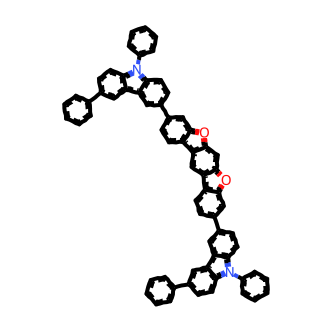 c1ccc(-c2ccc3c(c2)c2cc(-c4ccc5c(c4)oc4cc6oc7cc(-c8ccc9c(c8)c8cc(-c%10ccccc%10)ccc8n9-c8ccccc8)ccc7c6cc45)ccc2n3-c2ccccc2)cc1